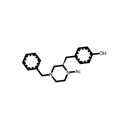 CC(=O)N1CCN(Cc2ccccc2)C[C@H]1Cc1ccc(O)cc1